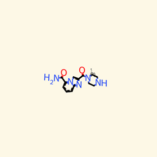 C[C@@H]1CNCCN1C(=O)c1cn2c(C(N)=O)cccc2n1